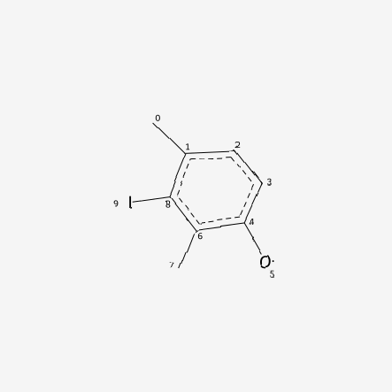 Cc1ccc([O])c(C)c1I